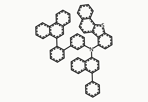 c1ccc(-c2ccc(N(c3cccc(-c4ccccc4-c4cc5ccccc5c5ccccc45)c3)c3cccc4sc5c6ccccc6ccc5c34)c3ccccc23)cc1